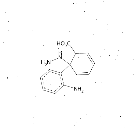 NNC1(c2ccccc2N)C=CC=CC1C(=O)O